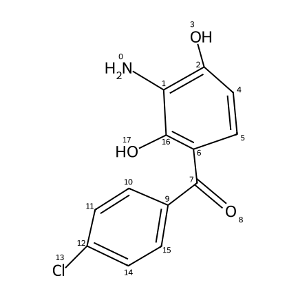 Nc1c(O)ccc(C(=O)c2ccc(Cl)cc2)c1O